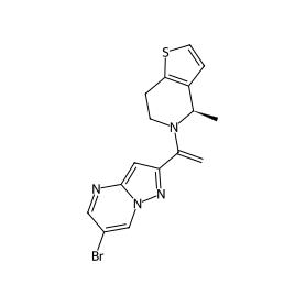 C=C(c1cc2ncc(Br)cn2n1)N1CCc2sccc2[C@H]1C